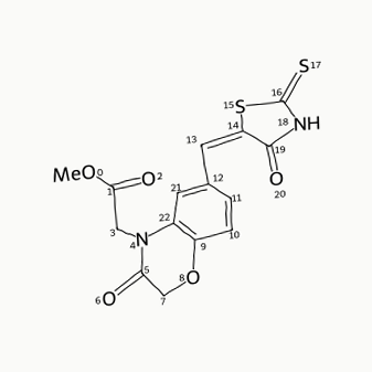 COC(=O)CN1C(=O)COc2ccc(C=C3SC(=S)NC3=O)cc21